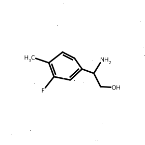 Cc1ccc(C(N)CO)cc1F